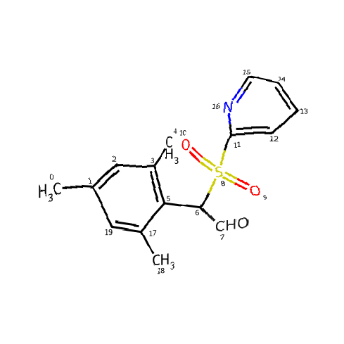 Cc1cc(C)c(C(C=O)S(=O)(=O)c2ccccn2)c(C)c1